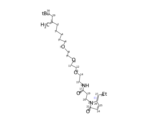 C=C(CCCCCOCCOCCOCCNC(=O)CCN1C(=O)C=C/C1=C\CC)CC(C)(C)C